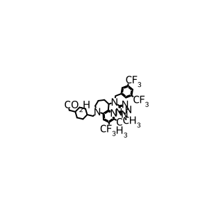 Cc1nc2c(cc1C(F)(F)F)N(CC1CCC(CC(=O)O)CC1)CCCC2N(Cc1cc(C(F)(F)F)cc(C(F)(F)F)c1)c1nnn(C)n1